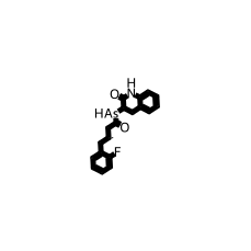 O=C(C[CH]Cc1ccccc1F)[AsH]C1Cc2ccccc2NC1=O